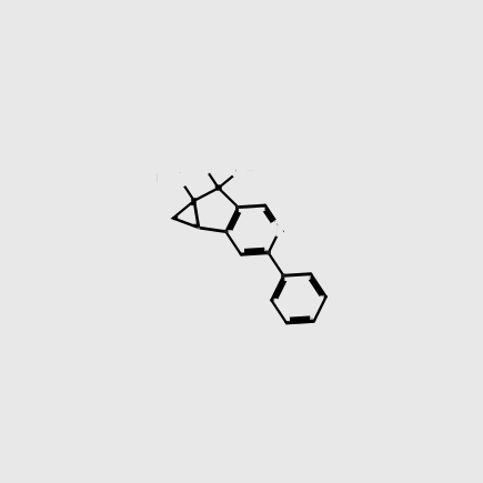 CC1(C)c2cnc(-c3ccccc3)cc2C2CC21C